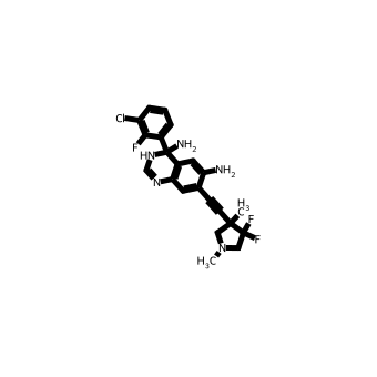 CN1CC(F)(F)C(C)(C#Cc2cc3c(cc2N)C(N)(c2cccc(Cl)c2F)NC=N3)C1